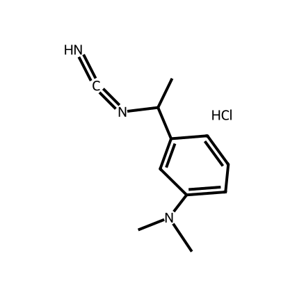 CC(N=C=N)c1cccc(N(C)C)c1.Cl